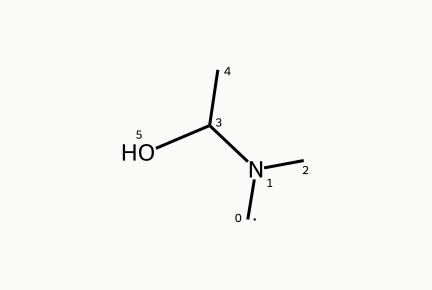 [CH2]N(C)C(C)O